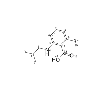 CC(C)CNc1cccc(Br)c1C(=O)O